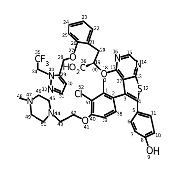 Cc1c(-c2c(-c3ccc(O)cc3)sc3ncnc(O[C@H](Cc4ccccc4OCc4ccnn4CC(F)(F)F)C(=O)O)c23)ccc(OCCN2CCN(C)CC2)c1Cl